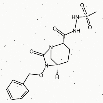 CS(=O)(=O)NNC(=O)[C@@H]1CC[C@@H]2CN1C(=O)N2OCc1ccccc1